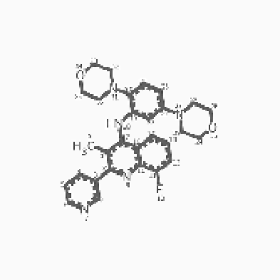 Cc1c(-c2cccnc2)nc2c(F)cccc2c1Nc1cc(N2CCOCC2)ccc1N1CCOCC1